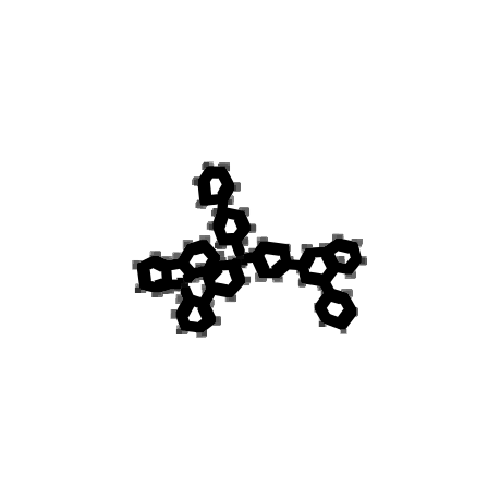 C1=CCCC(c2cc(-c3ccc(N(c4ccc(C5=CCCC=C5N5c6ccccc6C6C=CCCC65)cc4)c4ccc(-c5ccccc5)cc4)cc3)cc3c2CCC=C3)=C1